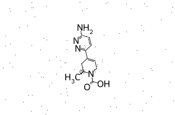 C[C@H]1CC(c2ccc(N)nn2)=CCN1C(=O)O